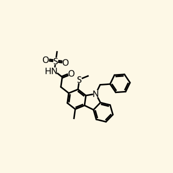 CSc1c(CC(=O)NS(C)(=O)=O)cc(C)c2c3ccccc3n(Cc3ccccc3)c12